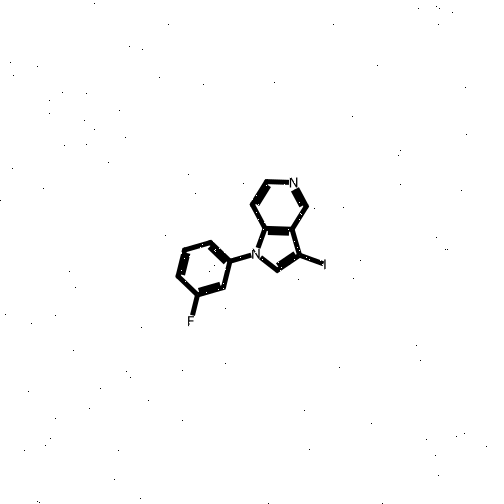 Fc1cccc(-n2cc(I)c3cnccc32)c1